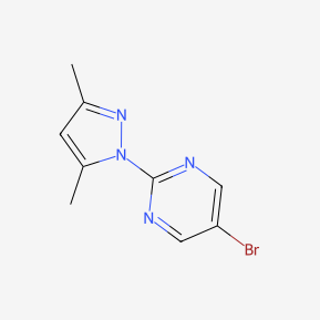 Cc1cc(C)n(-c2ncc(Br)cn2)n1